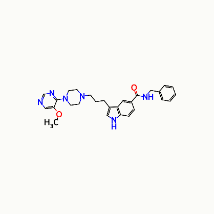 COc1cncnc1N1CCN(CCCc2c[nH]c3ccc(C(=O)NCc4ccccc4)cc23)CC1